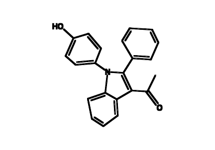 CC(=O)c1c(-c2ccccc2)n(-c2ccc(O)cc2)c2ccccc12